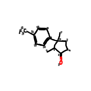 CC1C(=O)CCC1(C)c1ccc(C(F)(F)F)cc1